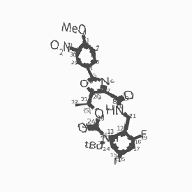 COc1ccc(-c2nc(C(=O)NCc3ccc(F)cc3F)c([C@H](C)OC(=O)NC(C)(C)C)o2)cc1[N+](=O)[O-]